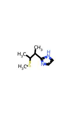 CSC(C)C(C)c1ncc[nH]1